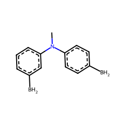 Bc1ccc(N(C)c2cccc(B)c2)cc1